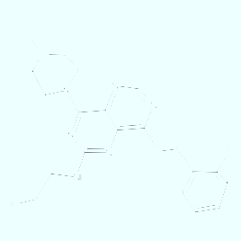 [O-][S+]1CCN(c2nc(NCCO)nc3c(SCc4ccccc4Cl)ncnc23)CC1